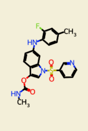 CNC(=O)Oc1cn(S(=O)(=O)c2cccnc2)c2cc(Nc3ccc(C)cc3F)ccc12